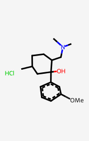 COc1cccc(C2(O)CC(C)CCC2CN(C)C)c1.Cl